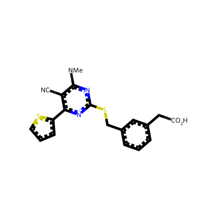 CNc1nc(SCc2cccc(CC(=O)O)c2)nc(-c2cccs2)c1C#N